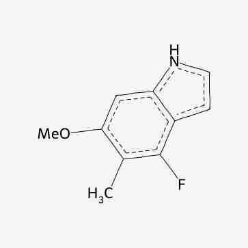 COc1cc2[nH]ccc2c(F)c1C